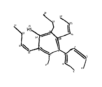 C/C=C\C(=C/C)c1c(C)c(/C=C\CC)c(S)c(CC)c1/C=C\C